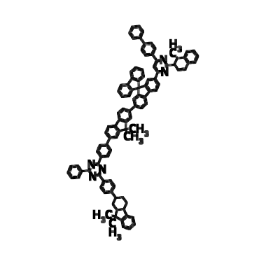 CC1c2ccccc2C=CC1c1nc(-c2ccc(-c3ccccc3)cc2)cc(-c2ccc3c(c2)C2(c4ccccc4-c4ccccc42)c2cc(-c4ccc5c(c4)C(C)(C)c4cc(-c6ccc(-c7nc(-c8ccccc8)nc(-c8ccc(C9CCC%10c%11ccccc%11C(C)(C)C%10C9)cc8)n7)cc6)ccc4-5)ccc2-3)n1